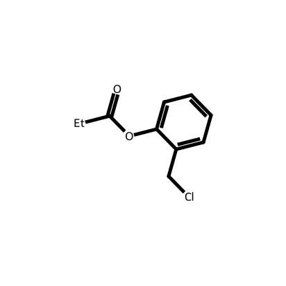 CCC(=O)Oc1ccccc1CCl